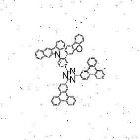 c1ccc2cc3c(cc2c1)c1ccccc1n3-c1ccc(-c2nc(-c3ccc4c5ccccc5c5ccccc5c4c3)nc(-c3ccc4c5ccccc5c5ccccc5c4c3)n2)cc1-c1ccc2c(c1)oc1ccccc12